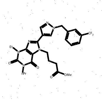 CCCn1c(=O)c2c(nc(-c3cnn(Cc4cccc(C(F)(F)F)c4)c3)n2CCCC(=O)OC)n(CC)c1=O